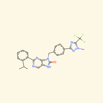 CC(C)c1ccccc1-c1ncc2[nH]c(=O)n(Cc3ccc(-c4nc(C(F)(F)F)n(C)n4)cc3)c2n1